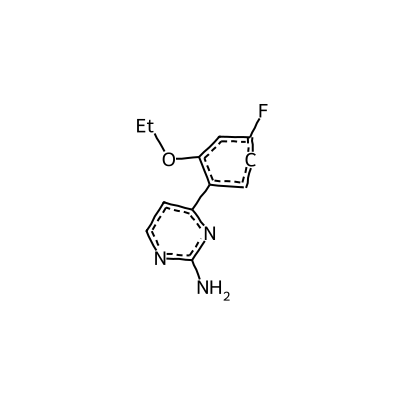 CCOc1cc(F)ccc1-c1ccnc(N)n1